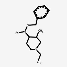 CC(=O)N(OCc1ccccc1)C1CCN(CC(F)(F)F)CC1C